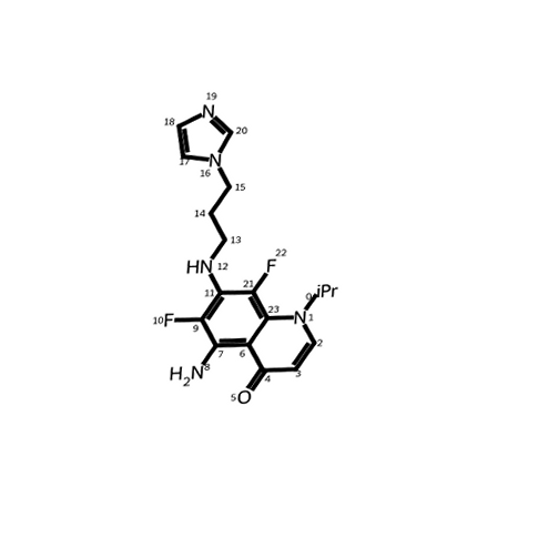 CC(C)n1ccc(=O)c2c(N)c(F)c(NCCCn3ccnc3)c(F)c21